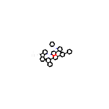 CC1(C)c2ccccc2-c2c(N(c3ccc4c5ccccc5n(-c5ccccc5)c4c3)c3ccc4ccccc4c3C3=CCC(c4ccc(-c5ccccc5)cc4)C=C3)cccc21